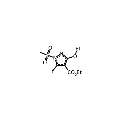 CCOC(=O)c1c(OCC)nn(S(C)(=O)=O)c1I